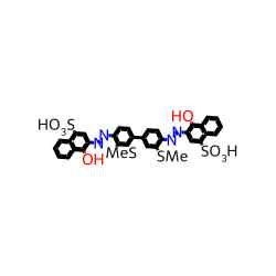 CSc1cc(-c2ccc(/N=N/c3cc(S(=O)(=O)O)c4ccccc4c3O)c(SC)c2)ccc1/N=N/c1cc(S(=O)(=O)O)c2ccccc2c1O